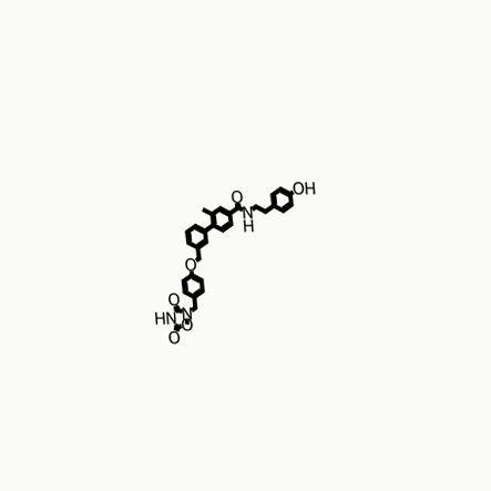 Cc1cc(C(=O)NCCc2ccc(O)cc2)ccc1-c1cccc(COc2ccc(Cn3oc(=O)[nH]c3=O)cc2)c1